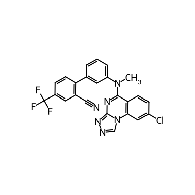 CN(c1cccc(-c2ccc(C(F)(F)F)cc2C#N)c1)c1nc2nncn2c2cc(Cl)ccc12